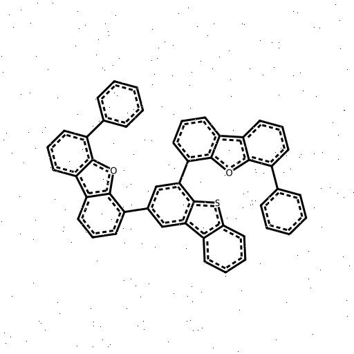 c1ccc(-c2cccc3c2oc2c(-c4cc(-c5cccc6c5oc5c(-c7ccccc7)cccc56)c5sc6ccccc6c5c4)cccc23)cc1